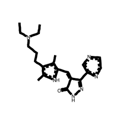 CCN(CC)CCCc1c(C)[nH]c(C=C2C(=O)NN=C2c2cnccn2)c1C